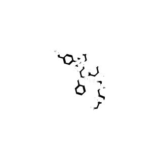 CC[C@H](C)[C@H](NC(=O)N(C)Cc1csc(CN)n1)C(=O)N[C@@H](Cc1ccccc1)[C@@H](O)CN(CC(C)C)S(=O)(=O)c1ccc(C=NO)cc1